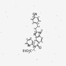 CCOC(=O)CN(C(=O)c1ccc2c(c1)nc(CCc1ccc(C#N)cc1)n2C)c1ccccn1